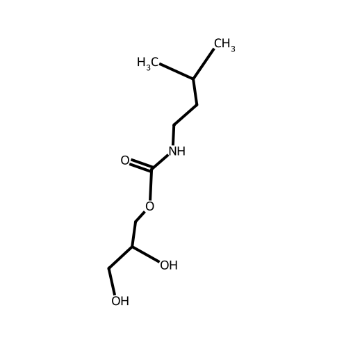 CC(C)CCNC(=O)OCC(O)CO